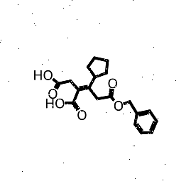 O=C(O)CC(C(=O)O)=C(CC(=O)OCc1ccccc1)C1CCCC1